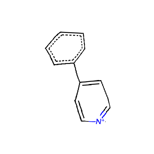 C1=CC(c2ccccc2)=CC=[N+]1